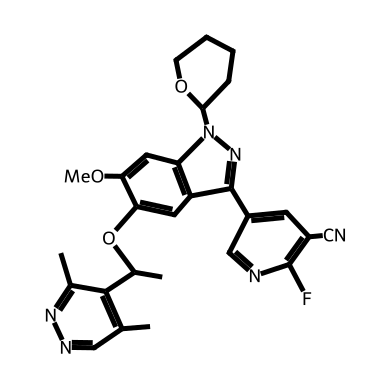 COc1cc2c(cc1OC(C)c1c(C)cnnc1C)c(-c1cnc(F)c(C#N)c1)nn2C1CCCCO1